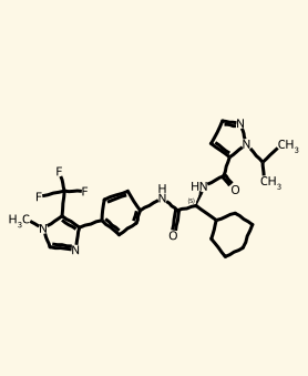 CC(C)n1nccc1C(=O)N[C@H](C(=O)Nc1ccc(-c2ncn(C)c2C(F)(F)F)cc1)C1CCCCC1